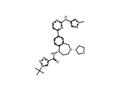 Cn1cc(Nc2nccc(-c3ccc4c(c3)CN([C@@H]3CCOC3)CC[C@H]4NC(=O)c3cn(C(C)(C)C)nn3)n2)cn1